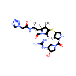 C[C@@H](NC(=O)Cn1cnnn1)[C@H]1C(=O)N2C(C(=O)O)=C(S[C@@H]3CN[C@H](C(=O)N4C[C@@H](O)[C@@H](NC(=N)N)C4)C3)[C@H](C)[C@H]12